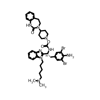 CN(C)CCCCCn1c([C@@H](Cc2cc(Br)c(N)c(Br)c2)NC(=O)ON2CCC(N3CCc4ccccc4NC3=O)CC2)nc2ccccc21